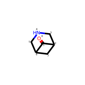 O=C1C2CNCC1C2